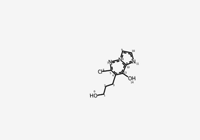 OCCCc1c(Cl)nn2ccnc2c1O